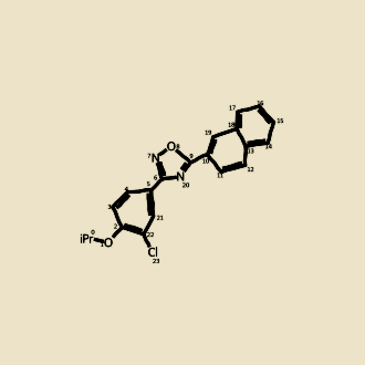 CC(C)Oc1ccc(-c2noc(-c3ccc4ccccc4c3)n2)cc1Cl